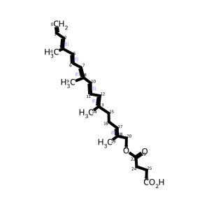 C=C/C=C(C)/C=C/C=C(C)/C=C/C=C(\C)CC/C=C(\C)COC(=O)CCC(=O)O